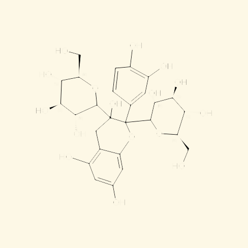 OC[C@H]1OC(C2(O)Cc3c(O)cc(O)cc3OC2(c2ccc(O)c(O)c2)C2O[C@H](CO)[C@@H](O)[C@H](O)[C@H]2O)[C@H](O)[C@@H](O)[C@@H]1O